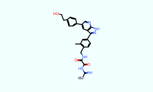 Cc1cc(-c2n[nH]c3ncc(-c4ccc(CCO)cc4)cc23)ccc1CNC(=O)C(=O)NC(=N)C(C)(C)C